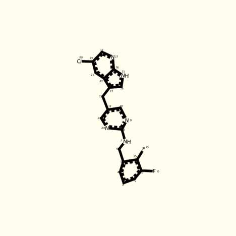 Fc1cccc(CNc2ncc(Cc3c[nH]c4ncc(Cl)cc34)cn2)c1F